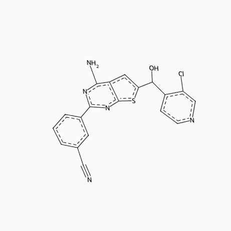 N#Cc1cccc(-c2nc(N)c3cc(C(O)c4ccncc4Cl)sc3n2)c1